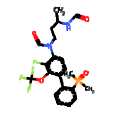 CC(CCN(C=O)c1ccc(-c2ccccc2P(C)(C)=O)c(OC(F)(F)F)c1F)NC=O